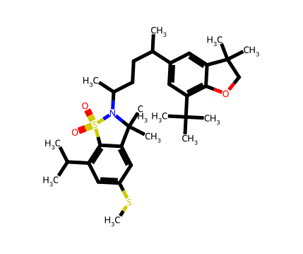 CSc1cc(C(C)C)c2c(c1)C(C)(C)N(C(C)CCC(C)c1cc(C(C)(C)C)c3c(c1)C(C)(C)CO3)S2(=O)=O